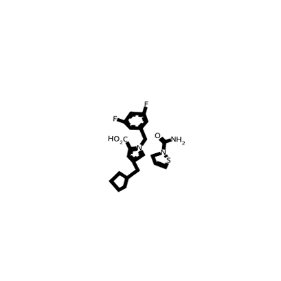 NC(=O)N1CC=CS1.O=C(O)c1cc(CC2CCCC2)cn1Cc1cc(F)cc(F)c1